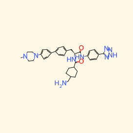 CN1CCN(c2ccc(-c3ccc(C[C@H](NC(=O)C4CCC(CN)CC4)C(=O)Nc4ccc(-c5nn[nH]n5)cc4)cc3)cc2)CC1